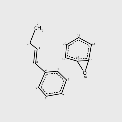 CCC=Cc1ccccc1.c1ccc2c(c1)O2